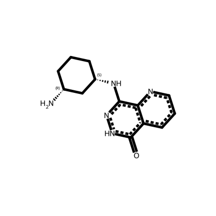 N[C@@H]1CCC[C@H](Nc2n[nH]c(=O)c3cccnc23)C1